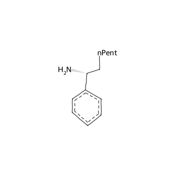 CCCCCC[C@@H](N)c1ccccc1